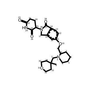 CC1(CN2CCCCC2COc2ccc3c(c2)CN(C2CCC(=O)NC2=O)C3=O)CCOCC1